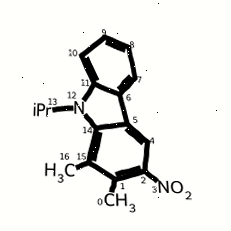 Cc1c([N+](=O)[O-])cc2c3ccccc3n(C(C)C)c2c1C